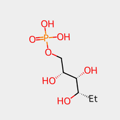 CC[C@H](O)[C@@H](O)[C@H](O)COP(=O)(O)O